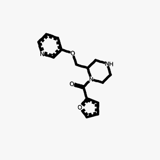 O=C(c1ccco1)N1CCNCC1COc1cccnc1